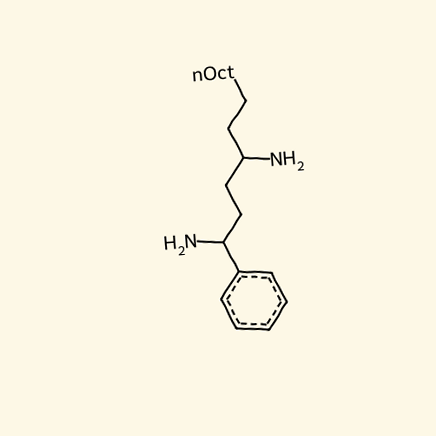 CCCCCCCCCCC(N)CCC(N)c1ccccc1